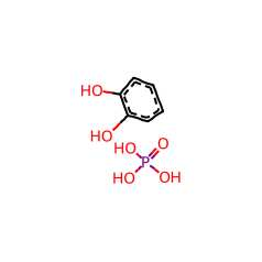 O=P(O)(O)O.Oc1ccccc1O